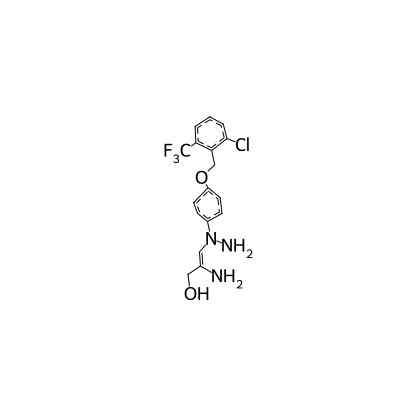 N/C(=C\N(N)c1ccc(OCc2c(Cl)cccc2C(F)(F)F)cc1)CO